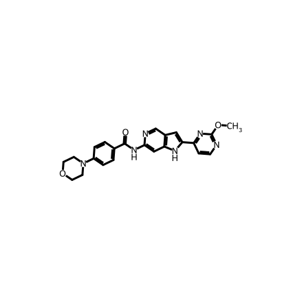 COc1nccc(-c2cc3cnc(NC(=O)c4ccc(N5CCOCC5)cc4)cc3[nH]2)n1